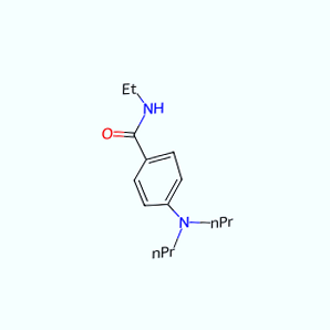 CCCN(CCC)c1ccc(C(=O)NCC)cc1